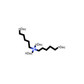 CCCCCCCCCCCCCCC[N+](CCCCCCCCCC)(CCCCCCCCCC)CCCCCCCCCCCCCCC